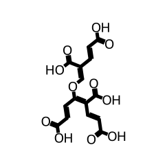 O=C(O)C=CC(=COC(C=CC(=O)O)=C(C=CC(=O)O)C(=O)O)C(=O)O